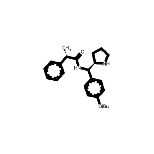 CC(C)COc1ccc(C(NC(=O)[C@@H](C)c2ccccc2)[C@H]2CCCN2)cc1